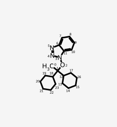 CC(On1nnc2ccccc21)(C1CCCCC1)C1CCCCC1